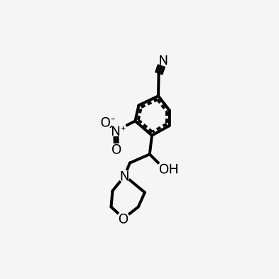 N#Cc1ccc(C(O)CN2CCOCC2)c([N+](=O)[O-])c1